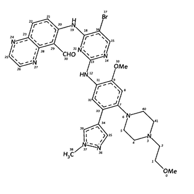 COCCN1CCN(c2cc(OC)c(Nc3ncc(Br)c(Nc4ccc5nccnc5c4C=O)n3)cc2-c2cnn(C)c2)CC1